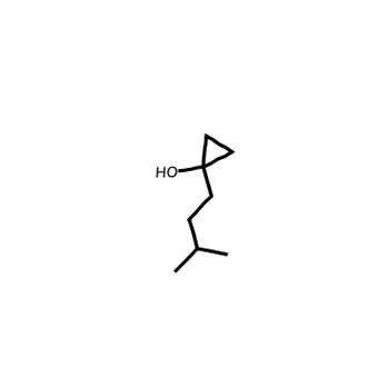 CC(C)CCC1(O)CC1